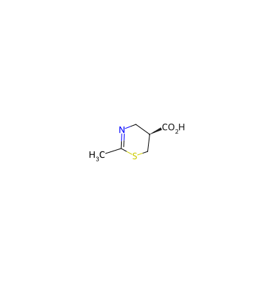 CC1=NC[C@@H](C(=O)O)CS1